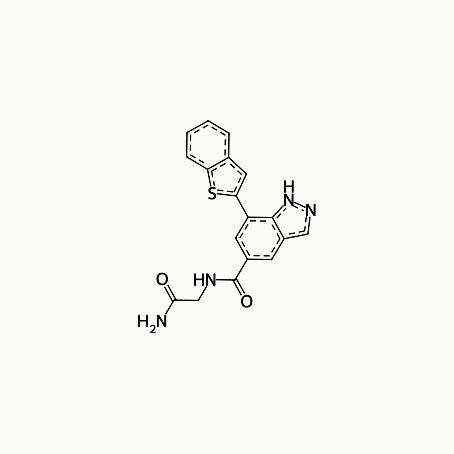 NC(=O)CNC(=O)c1cc(-c2cc3ccccc3s2)c2[nH]ncc2c1